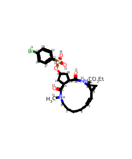 CCOC(=O)C12CC1C=CCCCCN(C)C(=O)C1CC(OS(=O)(=O)c3ccc(Br)cc3)CC1C(=O)N2